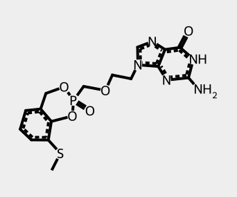 CSc1cccc2c1OP(=O)(COCCn1cnc3c(=O)[nH]c(N)nc31)OC2